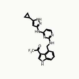 O=C(c1c[nH]c2cccc(CNc3nccc(Nc4cc(C5CC5)[nH]n4)n3)c12)C(F)(F)F